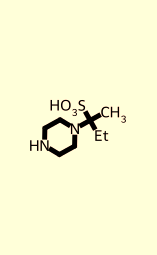 CCC(C)(N1CCNCC1)S(=O)(=O)O